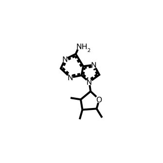 CC1OC(n2cnc3c(N)ncnc32)C(C)C1C